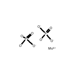 O=P([O-])([O-])[O-].O=P([O-])([O-])[O-].[Mo+6]